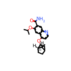 CC(C)Oc1cc2c(O[C@@H]3CC4CC[C@H]3[C@@H]4C)ccnc2cc1C(N)=O